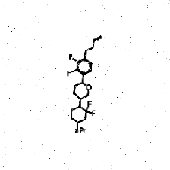 C=CCCc1ccc(C2CCC(C3CCC(CCC)CC3(F)F)CO2)c(F)c1F